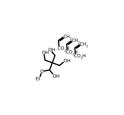 C=CC(=O)O.C=CC(=O)O.C=CC(=O)O.CCOC(O)C(CO)(CO)CO